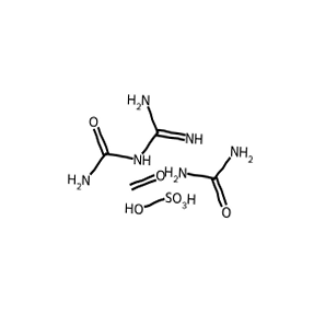 C=O.N=C(N)NC(N)=O.NC(N)=O.O=S(=O)(O)O